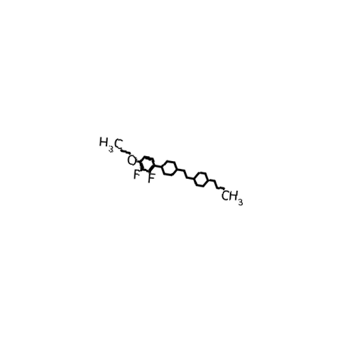 CCCCC1CCC(CCC2CCC(c3ccc(OCCC)c(F)c3F)CC2)CC1